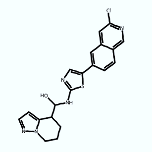 OC(Nc1ncc(-c2ccc3cnc(Cl)cc3c2)s1)C1CCCn2nccc21